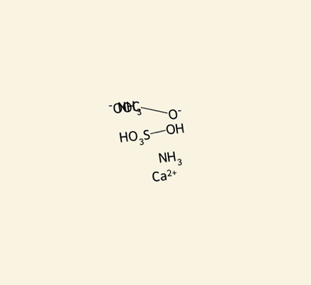 N.N.O=C([O-])[O-].O=S(=O)(O)O.[Ca+2]